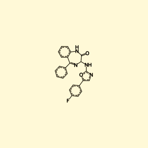 O=C1Nc2ccccc2C(c2ccccc2)=NC1Nc1ncc(-c2ccc(F)cc2)o1